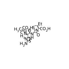 CCC1=C(C(=O)O)N2C(=O)[C@@H](NC(=O)/C(=N\OC(C)(C)C(=O)O)c3nsc(N)n3)C2SC1